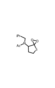 CC(=O)N(CC(C)C)C1CCSC12OO2